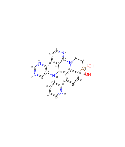 OS1(O)CCN(c2ncccc2CN(c2cccnc2)c2cncnc2)c2ccccc21